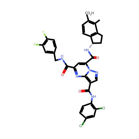 Cc1c(C(=O)O)ccc2c1CC[C@@H]2NC(=O)c1cc(C(=O)NCc2ccc(F)c(F)c2)nc2c(C(=O)Nc3ccc(Cl)cc3Cl)cnn12